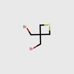 BrCC1(CBr)CSC1